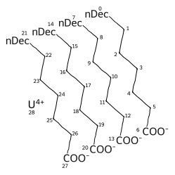 CCCCCCCCCCCCCCCC(=O)[O-].CCCCCCCCCCCCCCCC(=O)[O-].CCCCCCCCCCCCCCCC(=O)[O-].CCCCCCCCCCCCCCCC(=O)[O-].[U+4]